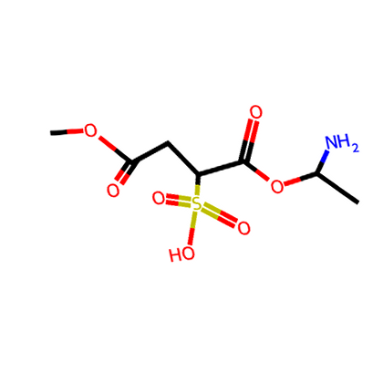 COC(=O)CC(C(=O)OC(C)N)S(=O)(=O)O